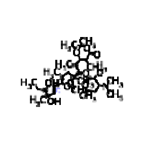 CC[C@@H](O)[C@@](C)(O)/C=C/C(=O)[C@H](C)C[C@@](C)(OC)[C@H](O[C@@H]1OC(C)CC(N(C)C)C1C)[C@@H](C)C1=C(C)C(=O)OC(C)(C)O1